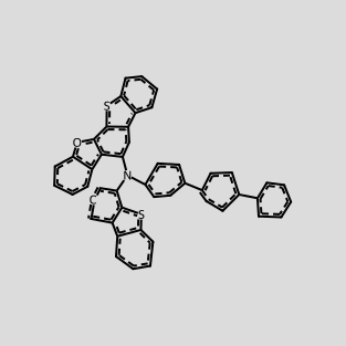 c1ccc(-c2ccc(-c3ccc(N(c4cccc5c4sc4ccccc45)c4cc5c6ccccc6sc5c5oc6ccccc6c45)cc3)cc2)cc1